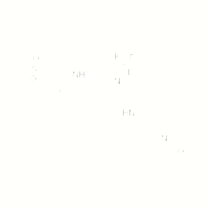 COc1cc(S(C)(=O)=O)ccc1NCC#Cc1cc2c(NC3CCC(N4CCOCC4)CC3)cccc2n1CC(F)(F)F